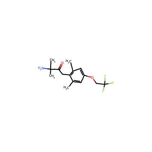 Cc1cc(OCC(F)(F)F)cc(C)c1CC(=O)C(C)(C)N